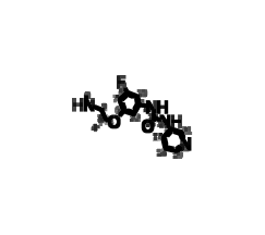 CNC[C@@H](C)Oc1cc(F)cc(NC(=O)Nc2cccnc2)c1